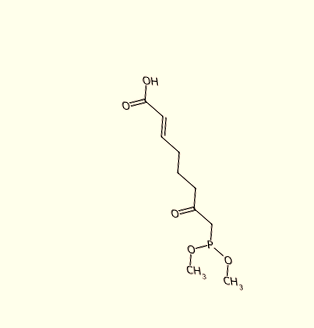 COP(CC(=O)CCC/C=C/C(=O)O)OC